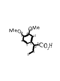 C/C=C(/C(=O)O)c1ccc(OC)c(OC)c1